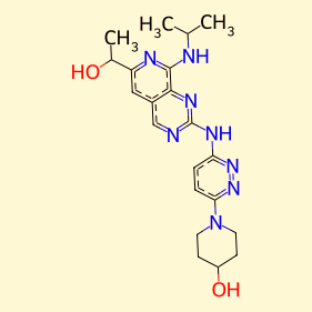 CC(C)Nc1nc(C(C)O)cc2cnc(Nc3ccc(N4CCC(O)CC4)nn3)nc12